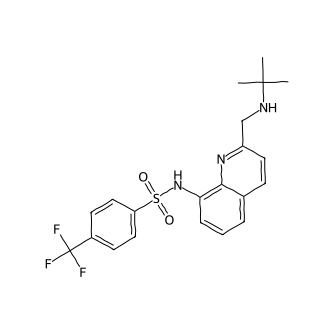 CC(C)(C)NCc1ccc2cccc(NS(=O)(=O)c3ccc(C(F)(F)F)cc3)c2n1